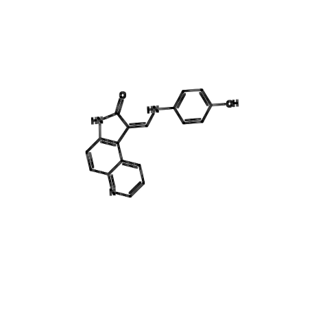 O=C1Nc2ccc3ncccc3c2C1=CNc1ccc(O)cc1